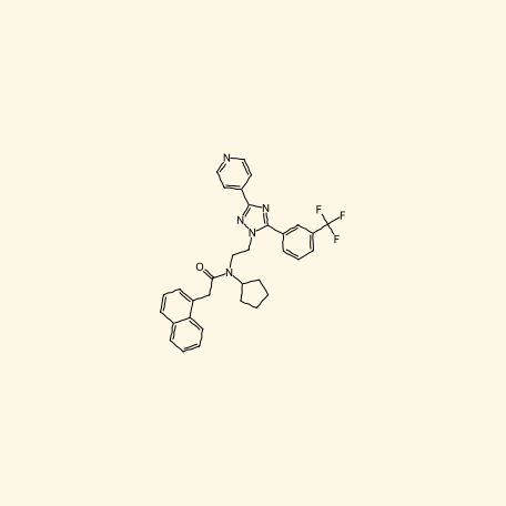 O=C(Cc1cccc2ccccc12)N(CCn1nc(-c2ccncc2)nc1-c1cccc(C(F)(F)F)c1)C1CCCC1